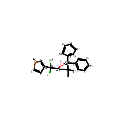 CC(C)(C)[Si](OCC(F)(F)c1ccsc1)(c1ccccc1)c1ccccc1